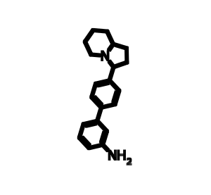 Nc1cccc(-c2ccc(C3CCC4CCCCN43)cc2)c1